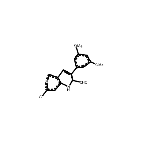 COc1cc(OC)cc(C2=Cc3cnc(Cl)cc3NC2C=O)c1